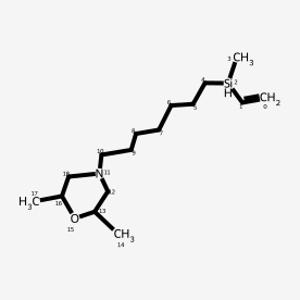 C=C[SiH](C)CCCCCCCN1CC(C)OC(C)C1